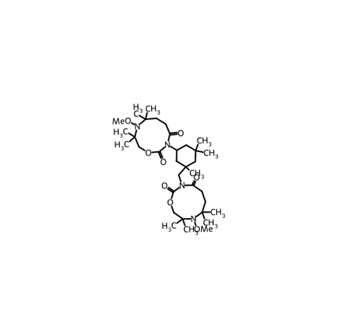 CON1C(C)(C)CCC(=O)N(CC2(C)CC(N3C(=O)CCC(C)(C)N(OC)C(C)(C)COC3=O)CC(C)(C)C2)C(=O)OCC1(C)C